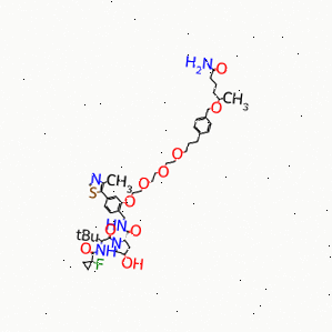 Cc1ncsc1-c1ccc(CNC(=O)[C@@H]2C[C@@H](O)CN2C(=O)[C@@H](NC(=O)C2(F)CC2)C(C)(C)C)c(OCCOCCOCCOCCCc2ccc(CO[C@H](C)CCCC(N)=O)cc2)c1